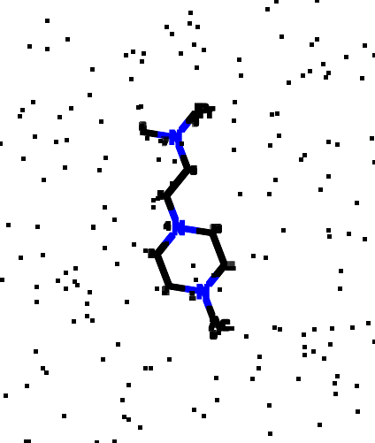 CC(=O)N1CCN(CCN(C)C(C)C)CC1